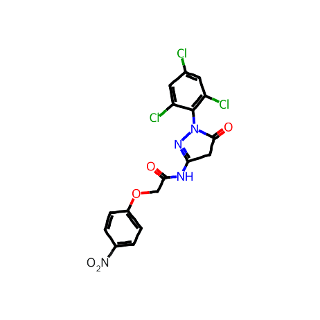 O=C(COc1ccc([N+](=O)[O-])cc1)NC1=NN(c2c(Cl)cc(Cl)cc2Cl)C(=O)C1